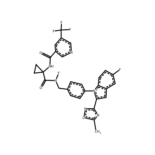 Cc1nc(-c2cc3cc(F)ccc3n2-c2ccc(CN(F)C(=O)C3(NC(=O)c4cncc(C(F)(F)F)c4)CC3)cc2)no1